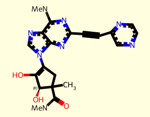 CNC(=O)C1(C)CC(n2cnc3c(NC)nc(C#Cc4cnccn4)nc32)=C(O)[C@@H]1O